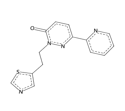 O=c1ccc(-c2ccccn2)nn1CCc1cncs1